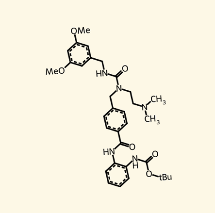 COc1cc(CNC(=O)N(CCN(C)C)Cc2ccc(C(=O)Nc3ccccc3NC(=O)OC(C)(C)C)cc2)cc(OC)c1